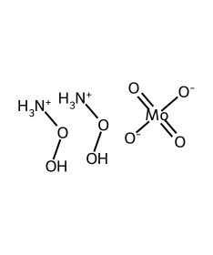 [NH3+]OO.[NH3+]OO.[O]=[Mo](=[O])([O-])[O-]